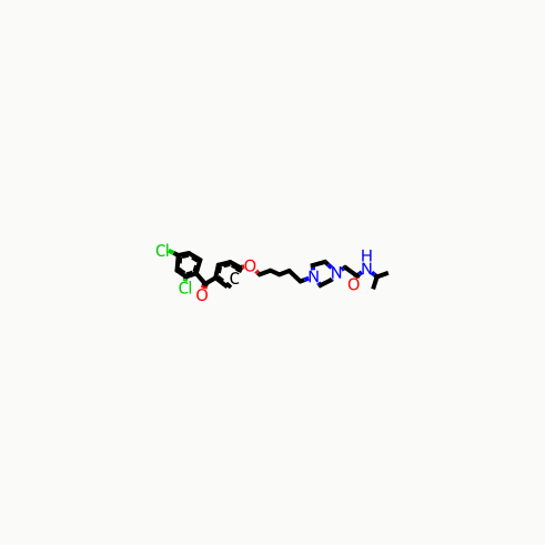 CC(C)NC(=O)CN1CCN(CCCCCOc2ccc(C(=O)c3ccc(Cl)cc3Cl)cc2)CC1